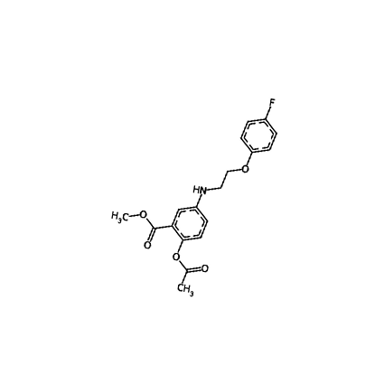 COC(=O)c1cc(NCCOc2ccc(F)cc2)ccc1OC(C)=O